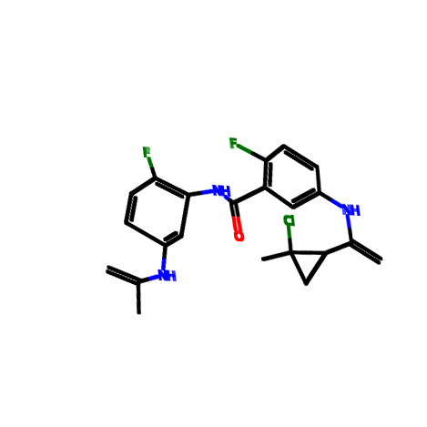 C=C(C)Nc1ccc(F)c(NC(=O)c2cc(NC(=C)C3CC3(C)Cl)ccc2F)c1